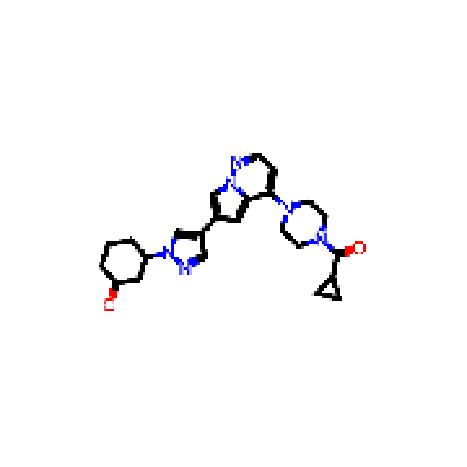 O=C1CCCC(n2cc(-c3cc4c(N5CCN(C(=O)C6CC6)CC5)ccnn4c3)cn2)C1